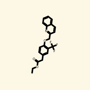 CCOC(=O)Cc1ccc(OCc2ccc3ccccc3n2)c(C(F)(F)F)c1